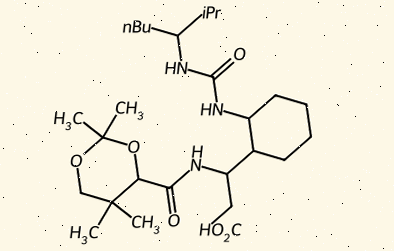 CCCCC(NC(=O)NC1CCCCC1C(CC(=O)O)NC(=O)C1OC(C)(C)OCC1(C)C)C(C)C